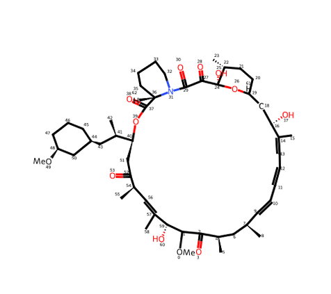 COC1C(=O)[C@H](C)C[C@H](C)/C=C/C=C/C=C(\C)[C@@H](O)C[C@@H]2CC[C@@H](C)[C@@](O)(O2)C(=O)C(=O)N2CCCC[C@H]2C(=O)O[C@H]([C@H](C)C[C@@H]2CCC[C@H](OC)C2)CC(=O)[C@H](C)/C=C(\C)[C@H]1O